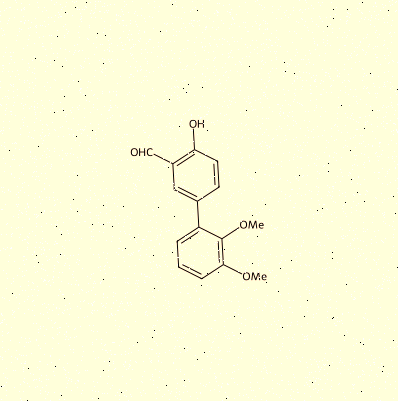 COc1cccc(-c2ccc(O)c(C=O)c2)c1OC